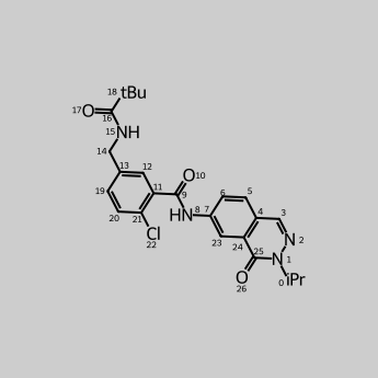 CC(C)n1ncc2ccc(NC(=O)c3cc(CNC(=O)C(C)(C)C)ccc3Cl)cc2c1=O